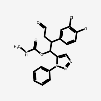 CNC(=O)OC(c1cnnn1-c1ccccc1)C(CC=O)c1ccc(Cl)c(Cl)c1